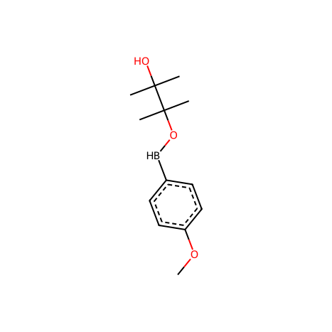 COc1ccc(BOC(C)(C)C(C)(C)O)cc1